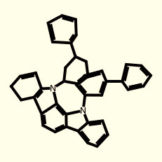 C1=Cc2c(c3ccc4c5ccccc5n(-c5cccc(-c6ccccc6)c5)c4c3n2C2C=CCC(c3ccccc3)C2)CC1